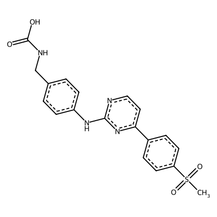 CS(=O)(=O)c1ccc(-c2ccnc(Nc3ccc(CNC(=O)O)cc3)n2)cc1